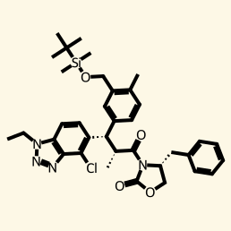 CCn1nnc2c(Cl)c([C@H](c3ccc(C)c(CO[Si](C)(C)C(C)(C)C)c3)[C@@H](C)C(=O)N3C(=O)OC[C@H]3Cc3ccccc3)ccc21